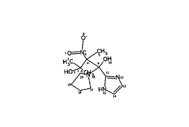 CC(C)(O)C(C)([N+](=O)[O-])C(O)(c1ncc[nH]1)N1CCCC1